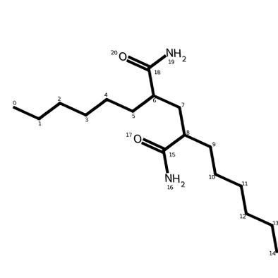 CCCCCCC(CC(CCCCCC)C(N)=O)C(N)=O